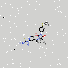 CC1(C)C(=O)N(c2ccc(SC(F)(F)F)cc2)C(=O)N1Cc1ccnc(NC(N)=S)c1